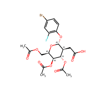 CC(=O)OC[C@H]1O[C@H](Oc2ccc(Br)cc2F)[C@@H](CC(=O)O)[C@H](OC(C)=O)[C@H]1OC(C)=O